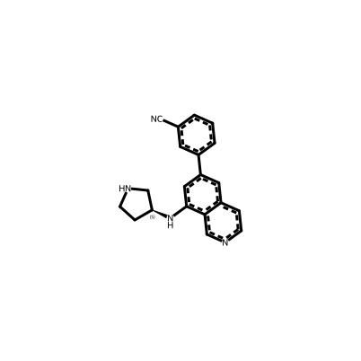 N#Cc1cccc(-c2cc(N[C@H]3CCNC3)c3cnccc3c2)c1